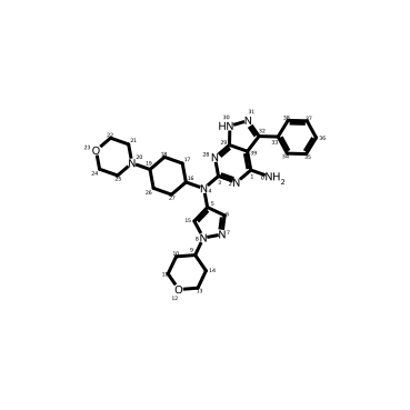 Nc1nc(N(c2cnn(C3CCOCC3)c2)C2CCC(N3CCOCC3)CC2)nc2[nH]nc(-c3ccccc3)c12